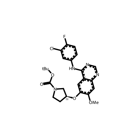 COc1cc2ncnc(Nc3ccc(F)c(Cl)c3)c2cc1O[C@H]1CCN(C(=O)OC(C)(C)C)C1